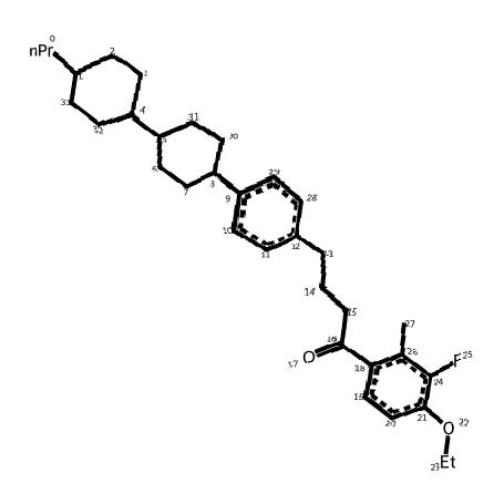 CCCC1CCC(C2CCC(c3ccc(CCCC(=O)c4ccc(OCC)c(F)c4C)cc3)CC2)CC1